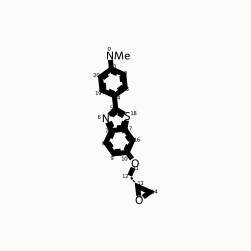 CNc1ccc(-c2nc3ccc(OC[C@@H]4CO4)cc3s2)cc1